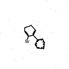 BrC1=CC[CH]C=C1c1ccccc1